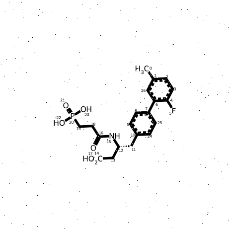 Cc1ccc(F)c(-c2ccc(C[C@H](CC(=O)O)NC(=O)CCP(=O)(O)O)cc2)c1